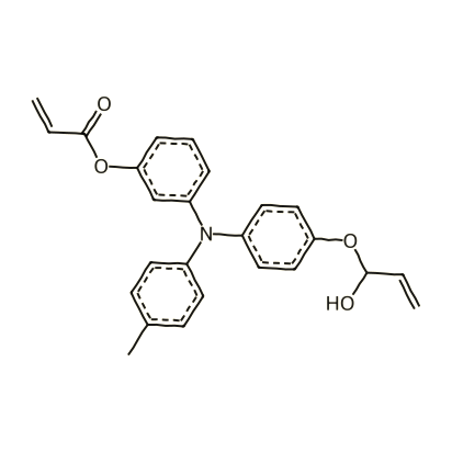 C=CC(=O)Oc1cccc(N(c2ccc(C)cc2)c2ccc(OC(O)C=C)cc2)c1